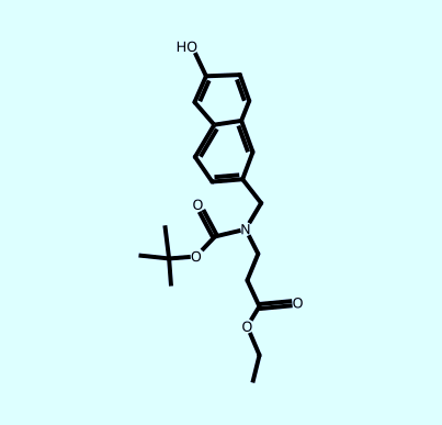 CCOC(=O)CCN(Cc1ccc2cc(O)ccc2c1)C(=O)OC(C)(C)C